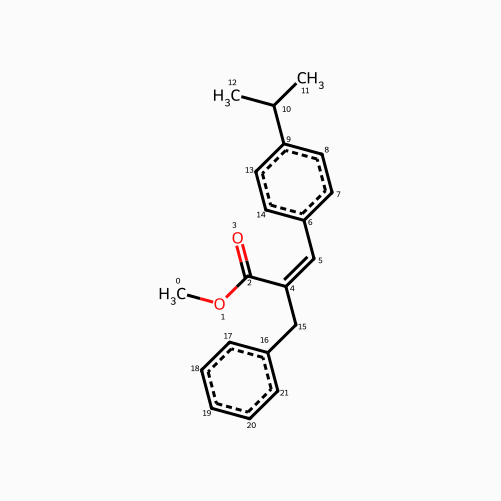 COC(=O)C(=Cc1ccc(C(C)C)cc1)Cc1ccccc1